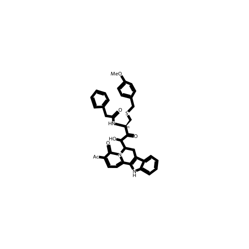 COc1ccc(CSC[C@H](NC(=O)Cc2ccccc2)C(=O)C(O)C2Cc3c([nH]c4ccccc34)-c3ccc(C(C)=O)c(=O)n32)cc1